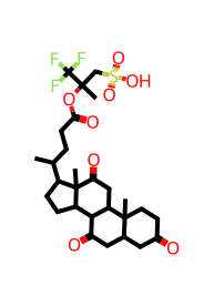 CC(CCC(=O)OC(C)(CS(=O)(=O)O)C(F)(F)F)C1CCC2C3C(=O)CC4CC(=O)CCC4(C)C3CC(=O)C12C